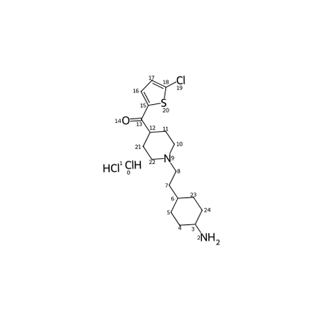 Cl.Cl.NC1CCC(CCN2CCC(C(=O)c3ccc(Cl)s3)CC2)CC1